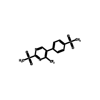 CS(=O)(=O)c1ccc(-c2cnc(S(C)(=O)=O)nc2C(F)(F)F)cc1